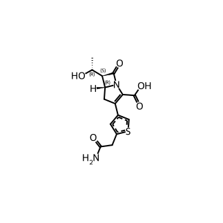 C[C@@H](O)[C@H]1C(=O)N2C(C(=O)O)=C(c3csc(CC(N)=O)c3)C[C@H]12